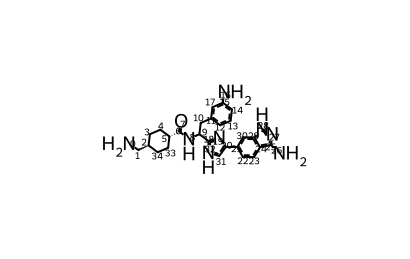 NC[C@H]1CC[C@H](C(=O)NC(Cc2cccc(N)c2)c2nc(-c3ccc4c(N)n[nH]c4c3)c[nH]2)CC1